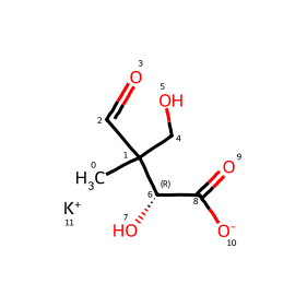 CC(C=O)(CO)[C@@H](O)C(=O)[O-].[K+]